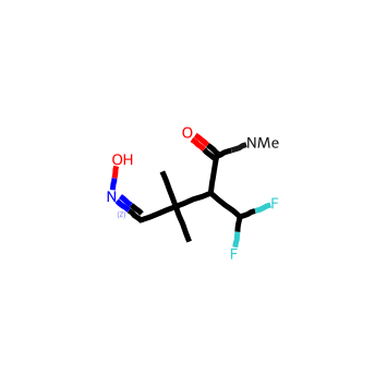 CNC(=O)C(C(F)F)C(C)(C)/C=N\O